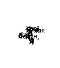 C[C@@H]1Cn2cncc2CN1c1nc(OC[C@@H]2CCCN2C)nc2c1CCN(c1cc(OC(=O)N(C)C)cc3cccc(Cl)c13)C2